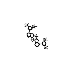 CC1(C)C2=Cc3c(-c4cc([Si](C)(C)C)cc([Si](C)(C)C)c4)cccc3[CH]2[Hf]([CH3])([CH3])[CH]2C1=Cc1c(-c3cc([Si](C)(C)C)cc([Si](C)(C)C)c3)cccc12